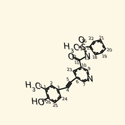 Cc1cc(C#Cc2cncc(C(=O)N=S(C)(=O)c3ccccc3)c2)ccc1O